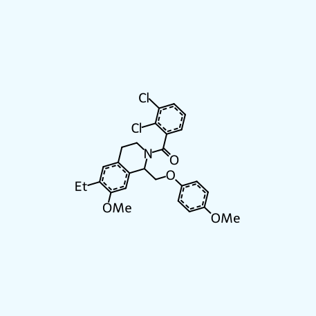 CCc1cc2c(cc1OC)C(COc1ccc(OC)cc1)N(C(=O)c1cccc(Cl)c1Cl)CC2